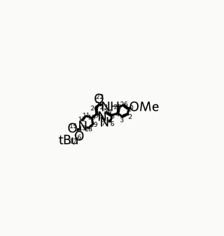 COc1ccc(-c2cnn3c(C4CCN(C(=O)OC(C)(C)C)CC4)cc(=O)[nH]c23)cc1